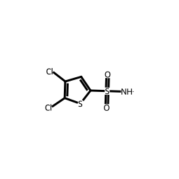 [NH]S(=O)(=O)c1cc(Cl)c(Cl)s1